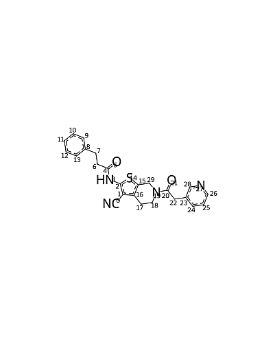 N#Cc1c(NC(=O)CCc2ccccc2)sc2c1CCN(C(=O)Cc1cccnc1)C2